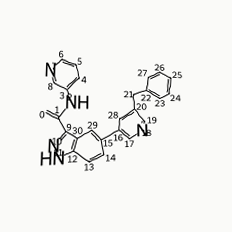 C=C(Nc1cccnc1)c1n[nH]c2ccc(-c3cncc(Cc4ccccc4)c3)cc12